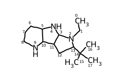 CCN1C2NC3CCCNC3C2CC1C(C)(C)C